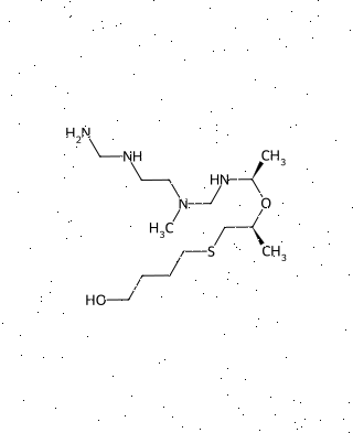 C[C@H](NCN(C)CCNCN)O[C@@H](C)CSCCCCO